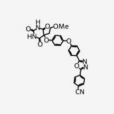 COCCC1(Oc2ccc(Oc3ccc(-c4nnc(-c5ccc(C#N)cc5)o4)cc3)cc2)C(=O)NC(=O)NC1=O